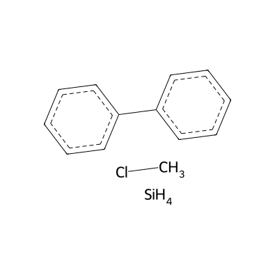 CCl.[SiH4].c1ccc(-c2ccccc2)cc1